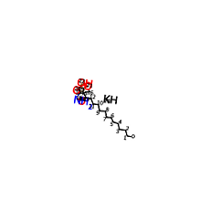 CCCCCCCCCCCCCC(=O)C(C)(CN)S(=O)(=O)O.[KH]